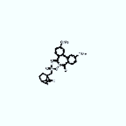 COc1ccc2c(=O)n(OS(=O)(=O)CC34CCC(CC3=O)C4(C)C)c(=O)c3ccc(OC)cc3c2c1